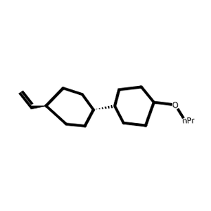 C=C[C@H]1CC[C@H](C2CCC(OCCC)CC2)CC1